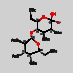 CC(=O)OC[C@H]1O[C@@H](O[C@H]2[C@H](OC(C)=O)[C@@H](OC(C)=O)[C@@](O)(Br)O[C@@H]2COC(C)=O)[C@H](OC(C)=O)[C@@H](OC(C)=O)[C@H]1OC(C)=O